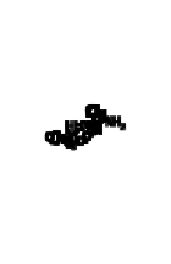 CCOCc1nc2c(N)nc3ccccc3c2n1NCCCNC(=O)N1CCOCC1